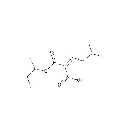 CCC(C)OC(=O)C(=CCC(C)C)C(=O)O